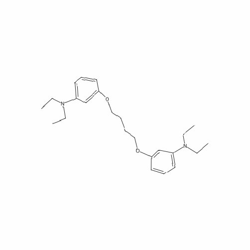 CCN(CC)c1cccc(OCCCCOc2cccc(N(CC)CC)c2)c1